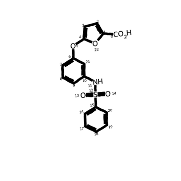 O=C(O)c1ccc(Oc2cccc(NS(=O)(=O)c3ccccc3)c2)o1